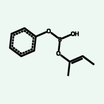 CC=C(C)OB(O)Oc1ccccc1